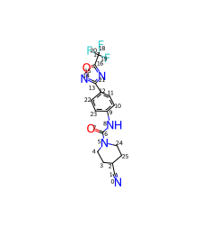 N#CC1CCN(C(=O)Nc2ccc(-c3noc(C(F)(F)F)n3)cc2)CC1